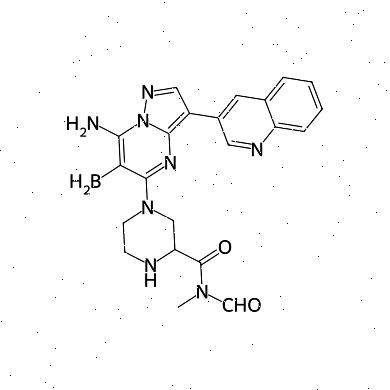 Bc1c(N2CCNC(C(=O)N(C)C=O)C2)nc2c(-c3cnc4ccccc4c3)cnn2c1N